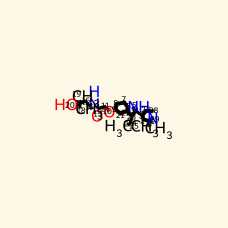 Cc1cc(-c2[nH]c3ccc(OCC(=O)NCCC(C)(C)O)cc3c2C(C)C)ccn1